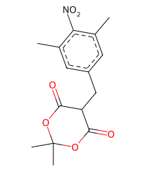 Cc1cc(CC2C(=O)OC(C)(C)OC2=O)cc(C)c1[N+](=O)[O-]